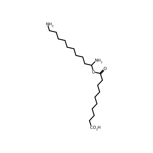 NCCCCCCCCCC(N)OC(=O)CCCCCCCCC(=O)O